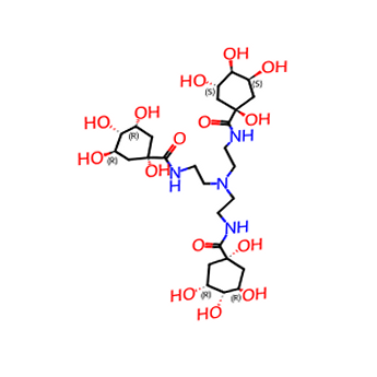 O=C(NCCN(CCNC(=O)[C@]1(O)C[C@@H](O)[C@@H](O)[C@H](O)C1)CCNC(=O)[C@]1(O)C[C@H](O)[C@@H](O)[C@@H](O)C1)[C@]1(O)C[C@@H](O)[C@@H](O)[C@H](O)C1